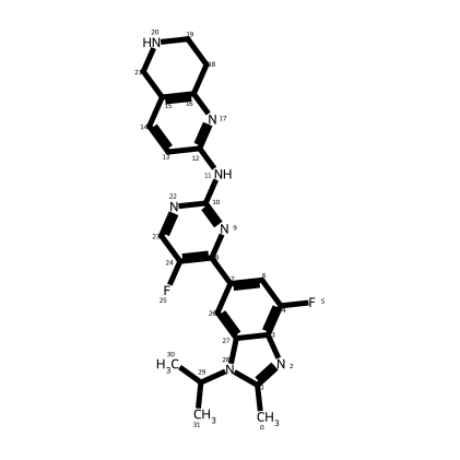 Cc1nc2c(F)cc(-c3nc(Nc4ccc5c(n4)CCNC5)ncc3F)cc2n1C(C)C